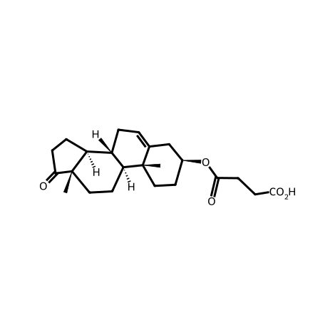 C[C@]12CC[C@H](OC(=O)CCC(=O)O)CC1=CC[C@@H]1[C@@H]2CC[C@]2(C)C(=O)CC[C@@H]12